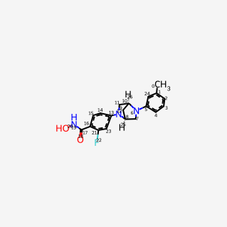 Cc1cccc(N2C[C@@H]3C[C@H]2CN3c2ccc(C(=O)NO)c(F)c2)c1